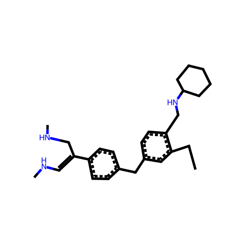 CCc1cc(Cc2ccc(/C(=C/NC)CNC)cc2)ccc1CNC1CCCCC1